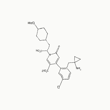 CCOC(=O)c1cn(C(CC2CCC(OC)CC2)C(=O)O)c(=O)cc1-c1cc(Cl)ccc1CC1(N)CC1